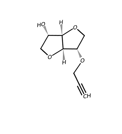 C#CCO[C@H]1CO[C@H]2[C@@H]1OC[C@@H]2O